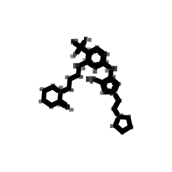 Cc1nn(CCN2CCCC2)cc1Nc1ncc(C(F)(F)F)c(NCCCN2CCCCC2=O)n1